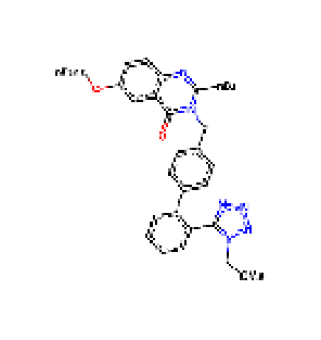 CCCCCOc1ccc2nc(CCCC)n(Cc3ccc(-c4ccccc4-c4nnnn4COC)cc3)c(=O)c2c1